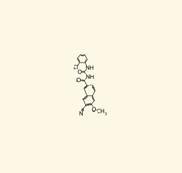 COc1cc2ccc(C(=O)NC(=O)Nc3ccccc3Cl)cc2cc1C#N